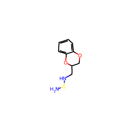 NSNCC1COc2ccccc2O1